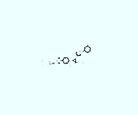 CN(C)C=NS(=O)(=O)c1ccc([C@@H]2[C@@H](c3cnn(-c4cccc(F)c4)c3)C2(C)C)cc1